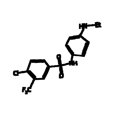 CCNc1ccc(NS(=O)(=O)c2ccc(Cl)c(C(F)(F)F)c2)cc1